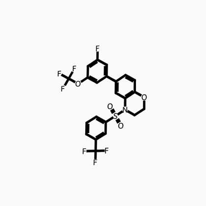 O=S(=O)(c1cccc(C(F)(F)F)c1)N1CCOc2ccc(-c3cc(F)cc(OC(F)(F)F)c3)cc21